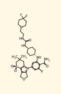 CC1(C)Cc2c(c3c(n2-c2cc(F)c(C(N)=O)c(N[C@H]4CC[C@H](NC(=O)NCCN5CCC(F)(F)CC5)CC4)c2)COC3)S(=O)(=O)C1